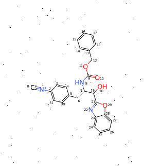 [C-]#[N+]c1ccc(C[C@H](NC(=O)OCc2ccccc2)C(O)c2nc3ccccc3o2)cc1